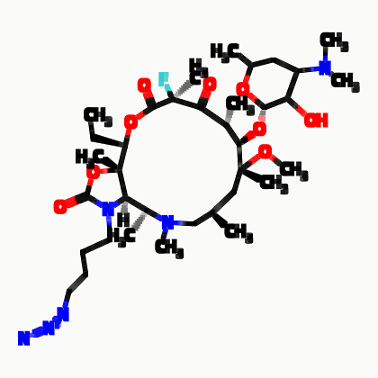 CC[C@H]1OC(=O)[C@@](C)(F)C(=O)[C@H](C)[C@@H](O[C@@H]2OC(C)CC(N(C)C)C2O)[C@](C)(OC)C[C@@H](C)CN(C)[C@H](C)[C@H]2N(CCCCN=[N+]=[N-])C(=O)O[C@]12C